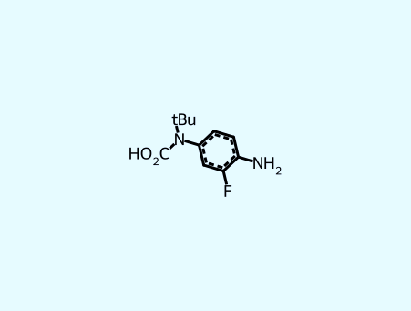 CC(C)(C)N(C(=O)O)c1ccc(N)c(F)c1